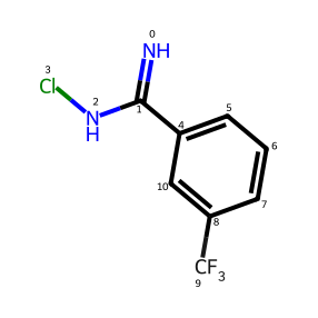 N=C(NCl)c1cccc(C(F)(F)F)c1